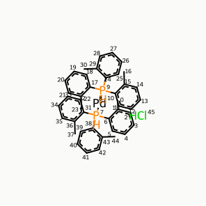 Cc1ccccc1[PH]([Pd][PH](c1ccccc1C)(c1ccccc1C)c1ccccc1C)(c1ccccc1C)c1ccccc1C.Cl